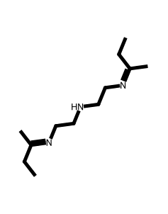 CCC(C)=NCCNCCN=C(C)CC